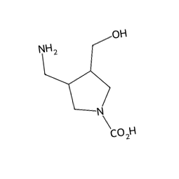 NCC1CN(C(=O)O)CC1CO